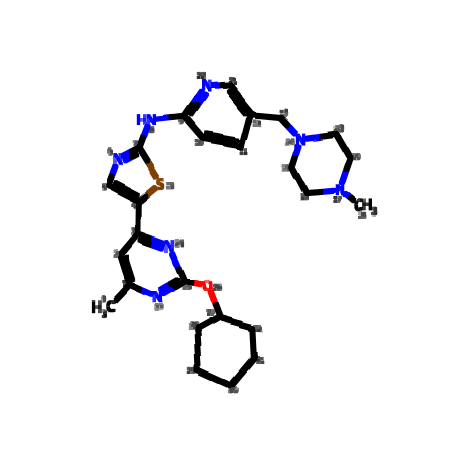 Cc1cc(-c2cnc(Nc3ccc(CN4CCN(C)CC4)cn3)s2)nc(OC2CCCCC2)n1